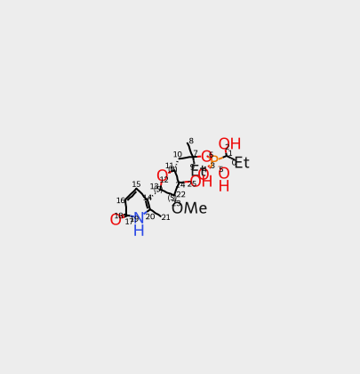 CCC(O)P(=O)(O)OC(C)(CC)C[C@H]1O[C@@H](c2ccc(=O)[nH]c2C)[C@@H](OC)C1O